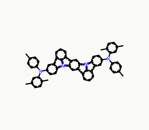 Cc1ccc(N(c2ccc3c(c2)c2cccc4c5cc6c(cc5n3c24)c2cccc3c4cc(N(c5ccc(C)cc5)c5cc(C)ccc5C)ccc4n6c32)c2cc(C)ccc2C)cc1